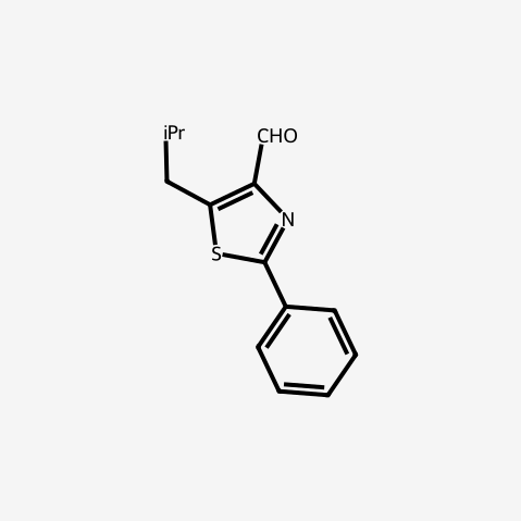 CC(C)Cc1sc(-c2ccccc2)nc1C=O